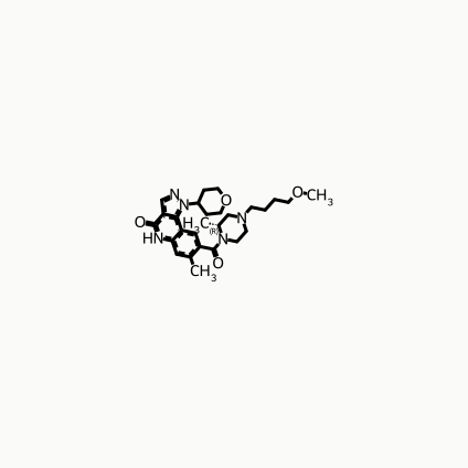 COCCCCN1CCN(C(=O)c2cc3c(cc2C)[nH]c(=O)c2cnn(C4CCOCC4)c23)[C@H](C)C1